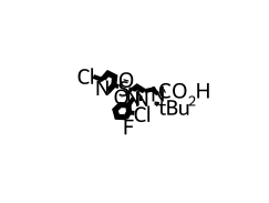 CC(C)(C)CN(Cc1cc(S(=O)(=O)c2ccc(Cl)nc2)n(-c2cccc(F)c2Cl)n1)C(=O)O